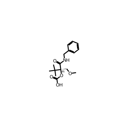 COC[C@@](OC(=O)O)(C(=O)NCc1ccccc1)C(C)(C)C